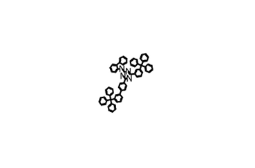 c1ccc(C(c2ccccc2)(c2ccccc2)c2cccc(-c3ccc(-c4nc(-c5cccc(C(c6ccccc6)(c6ccccc6)c6ccccc6)c5)nc(-n5c6ccccc6c6ccccc65)n4)cc3)c2)cc1